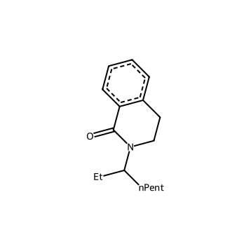 CCCCCC(CC)N1CCc2ccccc2C1=O